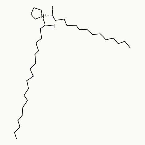 CCCCCCCCCCCCCCCCCCC(I)[N+]1(C(I)CCCCCCCCCCCCC)CCCC1